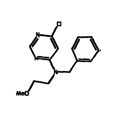 COCCN(Cc1c[c]ccc1)c1cc(Cl)ncn1